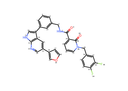 O=C(NCc1cccc(-c2c[nH]c3ncc(-c4ccoc4)cc23)c1)c1cccn(Cc2ccc(F)c(F)c2)c1=O